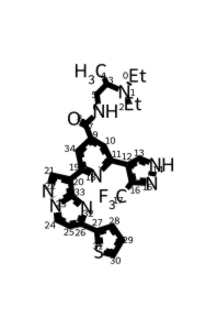 CCN(CC)C(C)CNC(=O)c1cc(-c2c[nH]nc2C(F)(F)F)nc(-c2cnn3ccc(-c4cccs4)nc23)c1